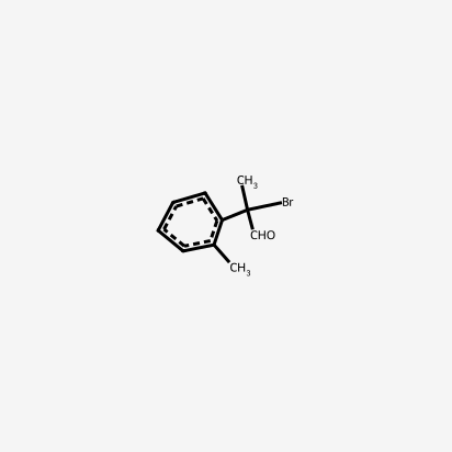 Cc1ccccc1C(C)(Br)C=O